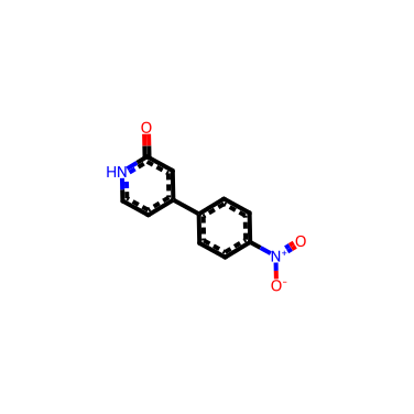 O=c1cc(-c2ccc([N+](=O)[O-])cc2)cc[nH]1